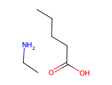 CCCCC(=O)O.CCN